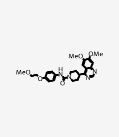 COCCOc1ccc(NC(=O)N2CCC(c3ncnc4cc(OC)c(OC)cc34)CC2)cc1